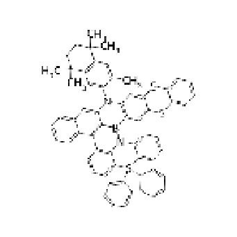 Cc1cc2c(cc1N1c3cc4c(cc3B3c5c1cc1ccccc1c5-c1cccc5c1N3c1ccccc1S5(c1ccccc1)c1ccccc1)Sc1ccccc1S4)C(C)(C)CCC2(C)C